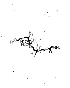 CC(C)OCCOCC(C)C(C)(C)C(C)(C)OCCC(C)(C)OCCOC(=O)CN